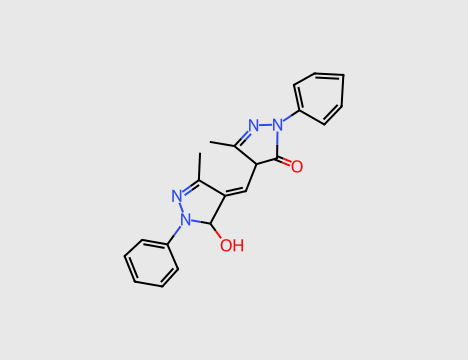 CC1=NN(c2ccccc2)C(O)/C1=C/C1C(=O)N(c2ccccc2)N=C1C